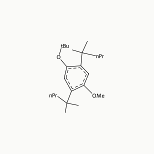 CCCC(C)(C)c1cc(OC(C)(C)C)c(C(C)(C)CCC)cc1OC